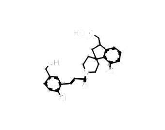 O=C(O)CC1CC2(CCN(C(=O)/C=C/c3cc(CO)ccc3C(F)(F)F)CC2)c2c(Cl)cccc21